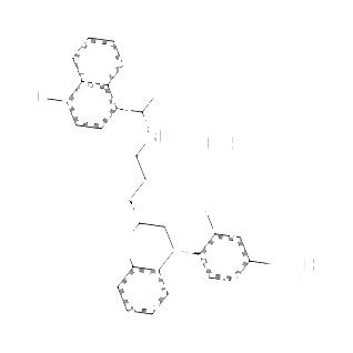 Cc1cc(C(=O)O)ccc1[C@@H]1C[C@H](CCCNC(C)c2ccc(F)c3ccccc23)Oc2ccccc21.Cl